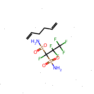 C=CCCC=C.NS(=O)(=O)C(F)(C(F)(F)C(F)(F)F)S(N)(=O)=O